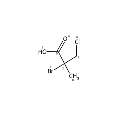 CC(Br)(CCl)C(=O)O